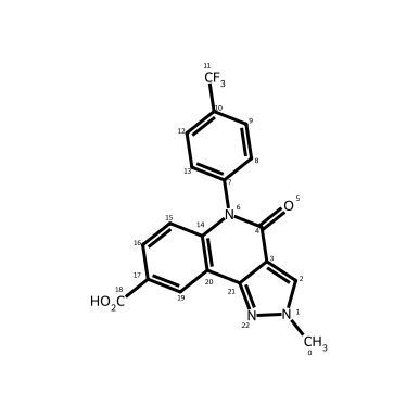 Cn1cc2c(=O)n(-c3ccc(C(F)(F)F)cc3)c3ccc(C(=O)O)cc3c2n1